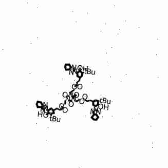 CC(C)(C)c1cc(CCC(=O)OCCn2c(=O)n(CCOC(=O)CCc3cc(-n4nc5ccccc5n4)c(O)c(C(C)(C)C)c3)c(=O)n(CCOC(=O)CCc3cc(-n4nc5ccccc5n4)c(O)c(C(C)(C)C)c3)c2=O)cc(-n2nc3ccccc3n2)c1O